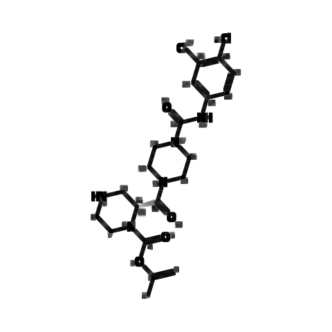 C=C(C)OC(=O)N1CCNC[C@@H]1C(=O)N1CCN(C(=O)Nc2ccc(Cl)c(Cl)c2)CC1